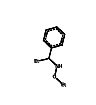 CCONC(CC)c1ccccc1